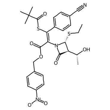 CCS[C@@H]1[C@@H]([C@@H](C)O)C(=O)N1C(C(=O)OCc1ccc([N+](=O)[O-])cc1)=C(SC(=O)C(C)(C)C)c1ccc(C#N)cc1